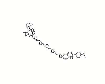 C[C@@H]1CCCN1C(=O)C(NC(=O)COCCOCCOCCOCCCOc1ccc2nc(-c3ccc(N(C)C)cc3)ccc2c1)C(C)(C)C